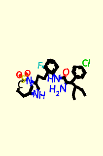 CCC(CC)C(c1ccc(Cl)cc1)C(N)C(=O)Nc1cccc(F)c1CCC1CNC2CCCS(=O)(=O)N1C2